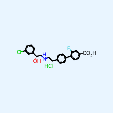 Cl.O=C(O)c1ccc(-c2ccc(CCNC[C@H](O)c3cccc(Cl)c3)cc2)c(F)c1